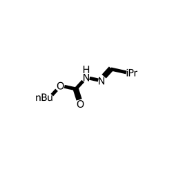 CCCCOC(=O)NN=CC(C)C